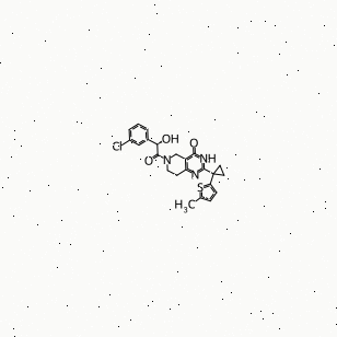 Cc1ccc(C2(c3nc4c(c(=O)[nH]3)CN(C(=O)[C@H](O)c3cccc(Cl)c3)CC4)CC2)s1